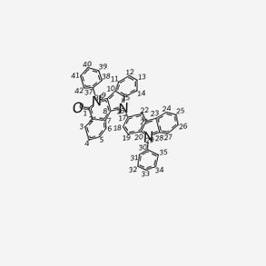 O=c1c2ccccc2c2c(c3ccccc3n2-c2ccc3c(c2)c2ccccc2n3-c2ccccc2)n1-c1ccccc1